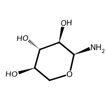 N[C@H]1OC[C@@H](O)[C@H](O)[C@H]1O